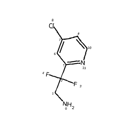 NCC(F)(F)c1cc(Cl)ccn1